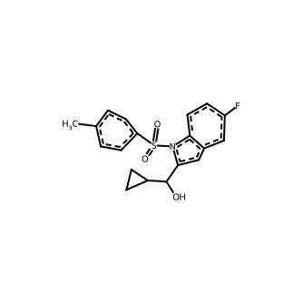 Cc1ccc(S(=O)(=O)n2c(C(O)C3CC3)cc3cc(F)ccc32)cc1